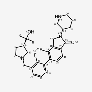 CC(C)(O)[C@@H]1CCN(Cc2ccnc(-c3ccc4c(c3F)CN(C3CCCNC3)C4=O)c2F)C1